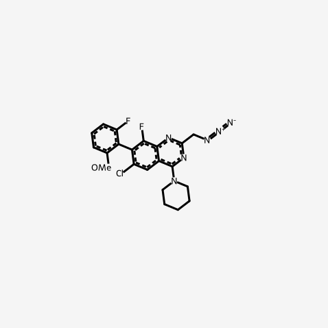 COc1cccc(F)c1-c1c(Cl)cc2c(N3CCCCC3)nc(CN=[N+]=[N-])nc2c1F